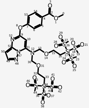 COC(=O)c1ccc(Oc2cc(N(COCC[Si](S(C)(=O)=O)(S(C)(=O)=O)S(C)(=O)=O)COCC[Si](S(C)(=O)=O)(S(C)(=O)=O)S(C)(=O)=O)n3nccc3n2)cc1